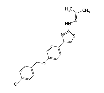 CC(C)=NNc1nc(-c2ccc(OCc3ccc(Cl)cc3)cc2)cs1